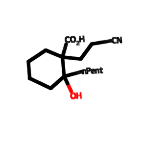 CCCCCC1(O)CCCCC1(CCC#N)C(=O)O